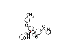 Cc1ccc(Oc2ccc(C3(CC(=O)NOC4CCCCO4)CCN(C(=O)c4ccccn4)CCS3(=O)=O)cc2)cc1